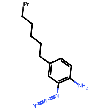 CC(C)CCCCCc1ccc(N)c(N=[N+]=[N-])c1